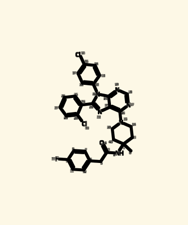 CC1(NC(=O)Cc2ccc(F)cc2)CCN(c2ncnc3c2nc(-c2ccccc2Cl)n3-c2ccc(Cl)cc2)CC1